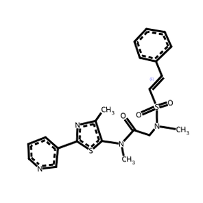 Cc1nc(-c2cccnc2)sc1N(C)C(=O)CN(C)S(=O)(=O)/C=C/c1ccccc1